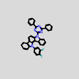 Fc1ccc(-n2c3c(c4ccc5c(c6ccccc6n5-c5nc(-c6ccccc6)nc(-c6ccccc6)n5)c42)CCC=C3)cc1F